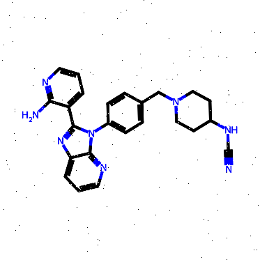 N#CNC1CCN(Cc2ccc(-n3c(-c4cccnc4N)nc4cccnc43)cc2)CC1